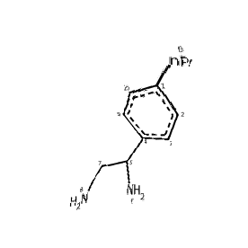 CCCc1ccc(C(N)CN)cc1